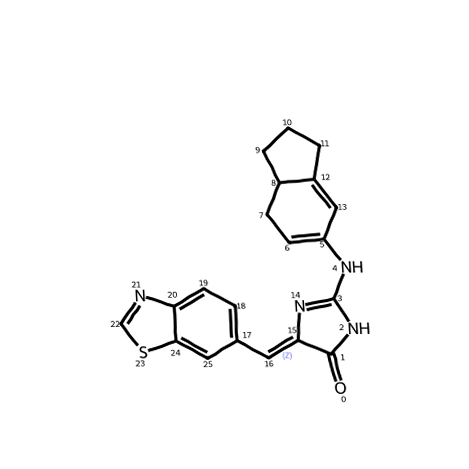 O=C1NC(NC2=CCC3CCCC3=C2)=N/C1=C\c1ccc2ncsc2c1